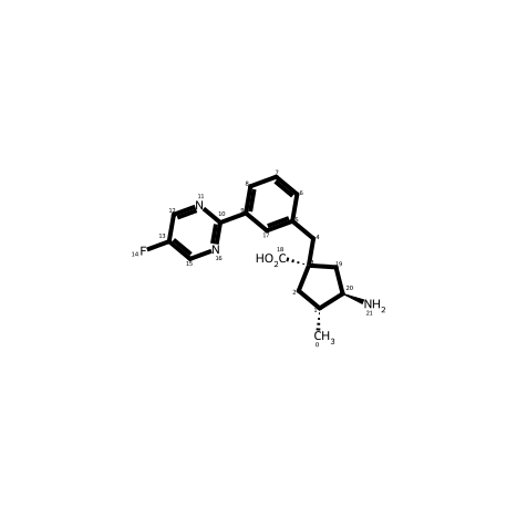 C[C@@H]1C[C@](Cc2cccc(-c3ncc(F)cn3)c2)(C(=O)O)C[C@H]1N